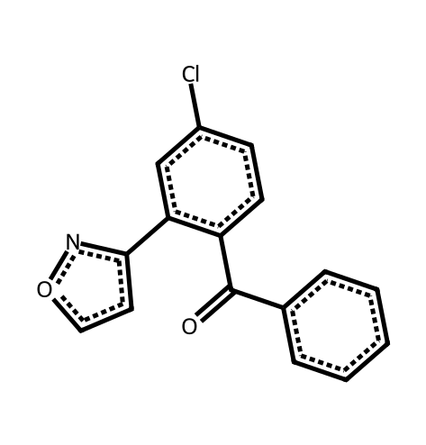 O=C(c1ccccc1)c1ccc(Cl)cc1-c1ccon1